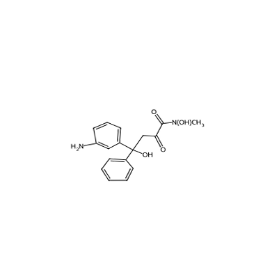 CN(O)C(=O)C(=O)CC(O)(c1ccccc1)c1cccc(N)c1